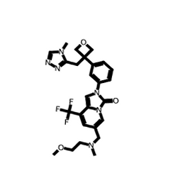 COCCN(C)Cc1cc(C(F)(F)F)c2cn(-c3cccc(C4(Cc5nncn5C)COC4)c3)c(=O)n2c1